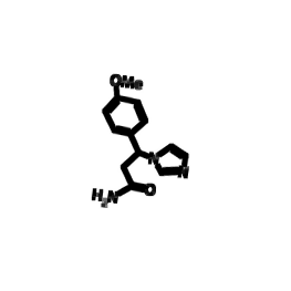 COc1ccc(C(CC(N)=O)n2ccnc2)cc1